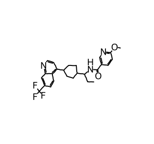 CCC(NC(=O)c1ccc(OC)nc1)C1CCC(c2ccnc3cc(C(F)(F)F)ccc23)CC1